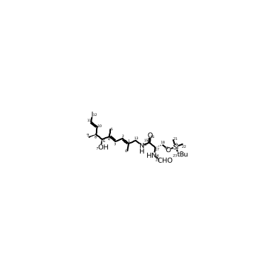 C/C(=C\C=C(/C)[C@@H](O)[C@@H](C)/C=C/I)CNC(=O)[C@H](CO[Si](C)(C)C(C)(C)C)NC=O